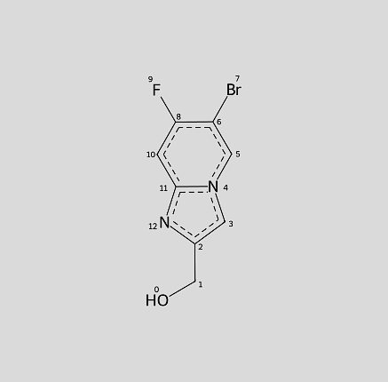 OCc1cn2cc(Br)c(F)cc2n1